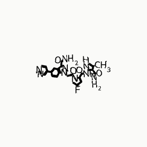 CC1=CNC(NC(=O)C2CC(F)CN2C(=O)Cn2nc(C(N)=O)c3cc(-c4ccnnc4)ccc32)C1C(N)=O